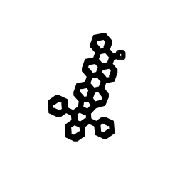 O=C1c2ccccc2-c2ccc3c4ccc5c6c(ccc(c7ccc1c2c73)c64)-c1c-5c(-c2ccccc2)c2ccccc2c1-c1ccccc1